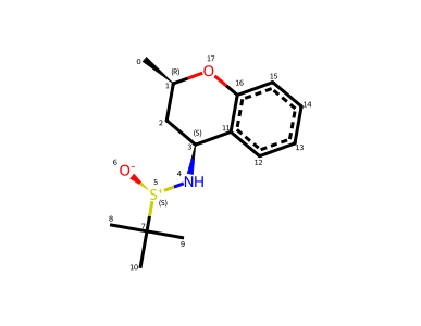 C[C@@H]1C[C@H](N[S@+]([O-])C(C)(C)C)c2ccccc2O1